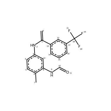 C=C(Nc1ccc(C)c(NC=O)c1)c1cccc(C(F)(F)F)c1